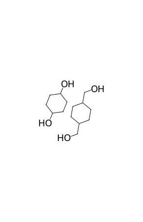 OC1CCC(O)CC1.OCC1CCC(CO)CC1